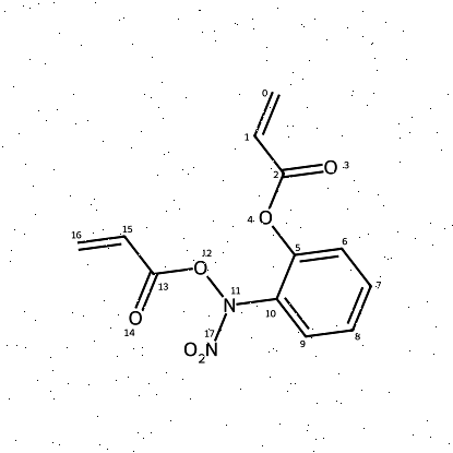 C=CC(=O)Oc1ccccc1N(OC(=O)C=C)[N+](=O)[O-]